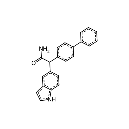 NC(=O)C(c1ccc(-c2ccccc2)cc1)c1ccc2[nH]ccc2c1